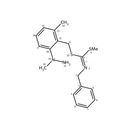 CS/C(=N/Cc1ccccc1)SCc1c(C)cccc1N(C)N